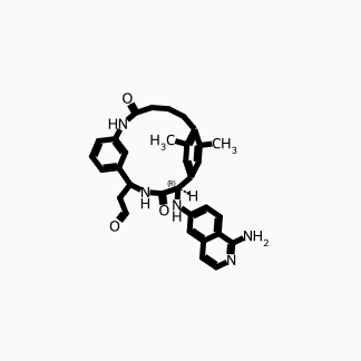 Cc1cc2cc(C)c1CCCC(=O)Nc1cccc(c1)C(CC=O)NC(=O)[C@@H]2Nc1ccc2c(N)nccc2c1